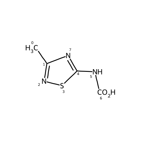 Cc1nsc(NC(=O)O)n1